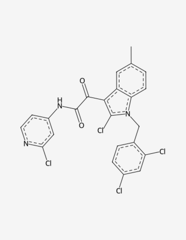 Cc1ccc2c(c1)c(C(=O)C(=O)Nc1ccnc(Cl)c1)c(Cl)n2Cc1ccc(Cl)cc1Cl